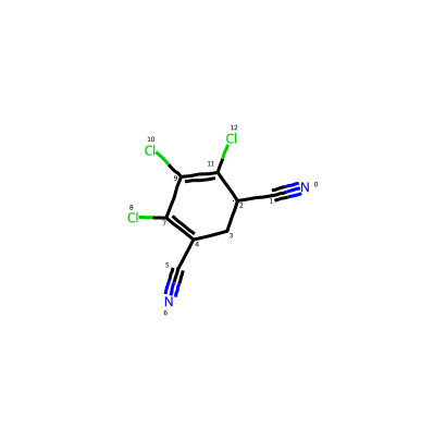 N#C[C]1CC(C#N)=C(Cl)C(Cl)=C1Cl